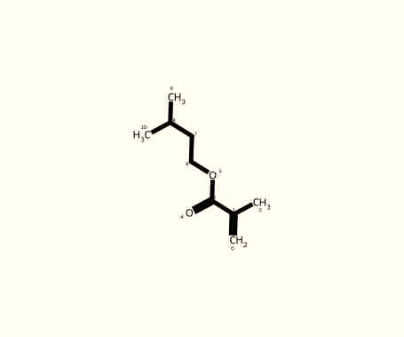 C=C(C)C(=O)OCCC(C)C